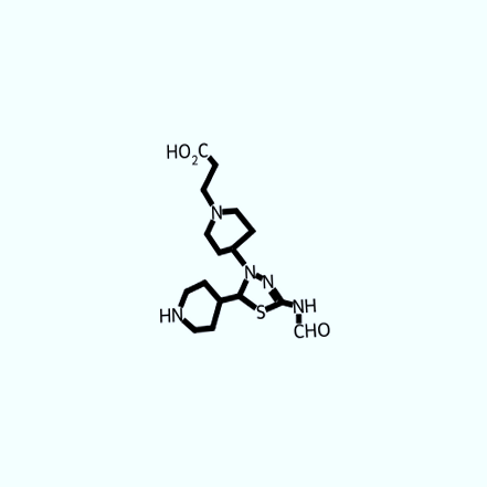 O=CNC1=NN(C2CCN(CCC(=O)O)CC2)C(C2CCNCC2)S1